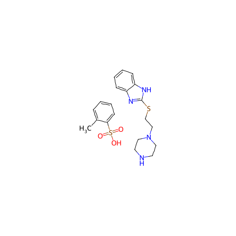 Cc1ccccc1S(=O)(=O)O.c1ccc2[nH]c(SCCN3CCNCC3)nc2c1